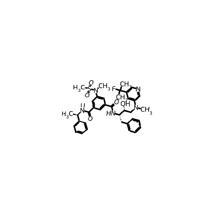 C[C@@H](NC(=O)c1cc(C(=O)N[C@@H](Cc2ccccc2)[C@H](O)CN(C)c2cncc(C(C)(C)F)c2)cc(N(C)S(C)(=O)=O)c1)c1ccccc1